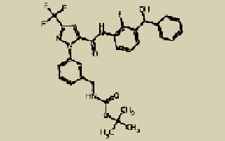 CC(C)(C)OC(=O)NCc1cccc(-n2nc(C(F)(F)F)cc2C(=O)Nc2cccc(C(O)c3ccccc3)c2F)c1